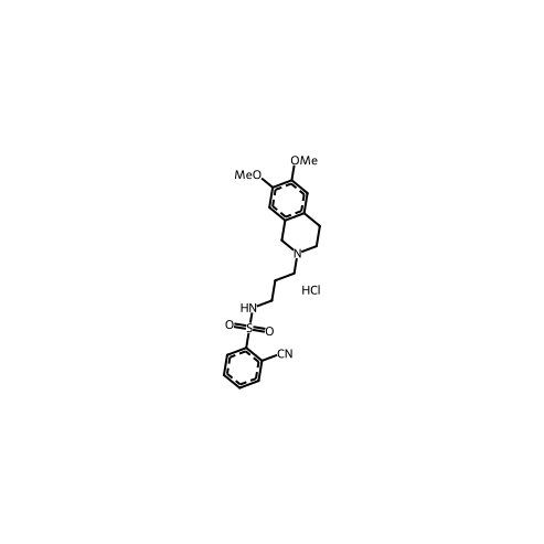 COc1cc2c(cc1OC)CN(CCCNS(=O)(=O)c1ccccc1C#N)CC2.Cl